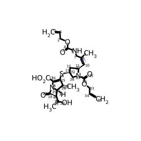 C=CCOC(=O)NC/C(C)=C\[C@@H]1C[C@H](SC2=C(C(=O)O)N3C(=O)[C@H]([C@@H](C)O)[C@H]3[C@H]2C)CN1C(=O)OCC=C